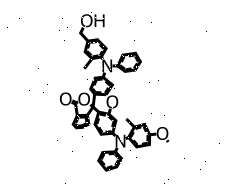 COc1ccc(N(c2ccccc2)c2ccc3c(c2)Oc2cc(N(c4ccccc4)c4ccc(CO)cc4C)ccc2C32OC(=O)c3ccccc32)c(C)c1